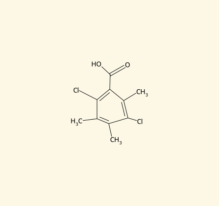 Cc1c(C)c(Cl)c(C(=O)O)c(C)c1Cl